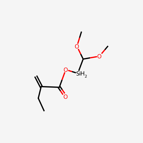 C=C(CC)C(=O)O[SiH2]C(OC)OC